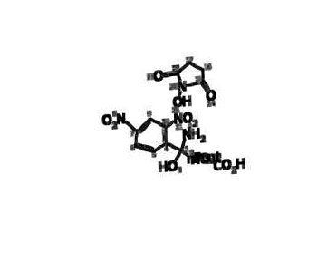 CCCCCC(N)(O)c1ccc([N+](=O)[O-])cc1[N+](=O)[O-].O=C(O)O.O=C1CCC(=O)N1O